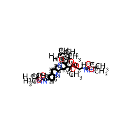 CCC1(OC(=O)CCNC(=O)OC(C)(C)C)C(=O)OC([Si](C)(C)C(C)C(C)C)c2c1cc1n(c2=O)Cc2cc3cc(NC(=O)OC(C)(C)C)ccc3nc2-1